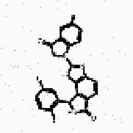 O=C1CN(c2nc3ccc4c(c3[nH]2)C(c2cc(F)ccc2Cl)NC4=O)c2ccc(F)cc21